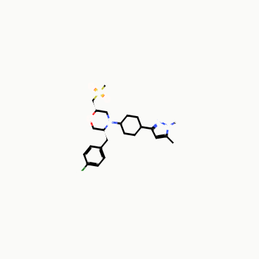 CCn1nc(C2CCC(N3C[C@H](CS(C)(=O)=O)OC[C@@H]3Cc3ccc(Cl)cc3)CC2)cc1C